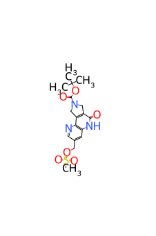 CC(C)(C)OC(=O)N1Cc2c(c3ncc(COS(C)(=O)=O)cc3[nH]c2=O)C1